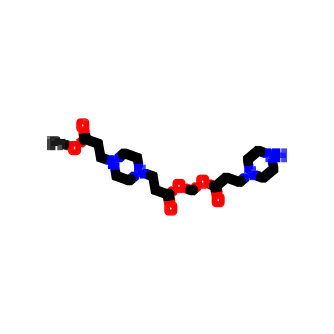 CC(C)OC(=O)CCN1CCN(CCC(=O)OCOC(=O)CCN2CCNCC2)CC1